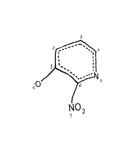 [O]c1cccnc1[N+](=O)[O-]